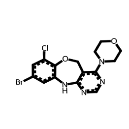 Clc1cc(Br)cc2c1OCc1c(ncnc1N1CCOCC1)N2